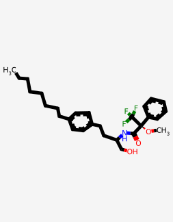 CCCCCCCCc1ccc(CCC(CO)NC(=O)[C@](OC)(c2ccccc2)C(F)(F)F)cc1